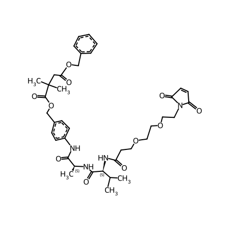 CC(C)[C@H](NC(=O)CCOCCOCCN1C(=O)C=CC1=O)C(=O)N[C@@H](C)C(=O)Nc1ccc(COC(=O)C(C)(C)CC(=O)OCc2ccccc2)cc1